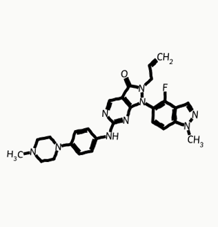 C=CCn1c(=O)c2cnc(Nc3ccc(N4CCN(C)CC4)cc3)nc2n1-c1ccc2c(cnn2C)c1F